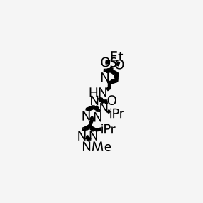 CCS(=O)(=O)c1ccc(CNc2nc3cnc(-c4cnc(NC)nc4C(C)C)nc3n(C(C)C)c2=O)nc1